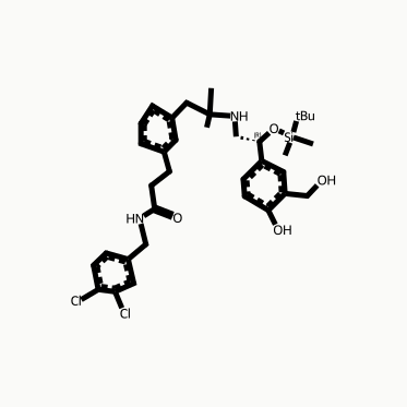 CC(C)(Cc1cccc(CCC(=O)NCc2ccc(Cl)c(Cl)c2)c1)NC[C@H](O[Si](C)(C)C(C)(C)C)c1ccc(O)c(CO)c1